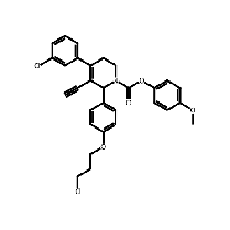 C#CC1=C(c2cccc(Cl)c2)CCN(C(=O)Oc2ccc(OC)cc2)C1c1ccc(OCCCCl)cc1